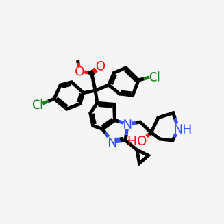 COC(=O)C(c1ccc(Cl)cc1)(c1ccc(Cl)cc1)c1ccc2nc(C3CC3)n(CC3(O)CCNCC3)c2c1